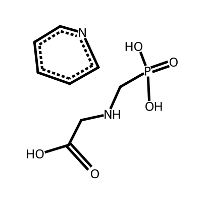 O=C(O)CNCP(=O)(O)O.c1ccncc1